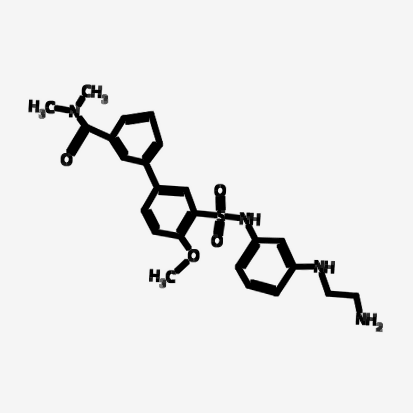 COc1ccc(-c2cccc(C(=O)N(C)C)c2)cc1S(=O)(=O)Nc1cccc(NCCN)c1